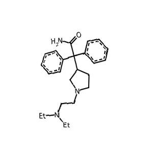 CCN(CC)CCN1CCC(C(C(N)=O)(c2ccccc2)c2ccccc2)C1